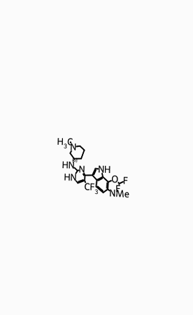 CNc1ccc2c(C3=NC(N[C@H]4CCCN(C)C4)NC=C3C(F)(F)F)c[nH]c2c1OC(F)F